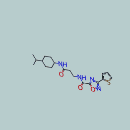 CC(C)C1CCC(NC(=O)CCNC(=O)c2nc(-c3cccs3)no2)CC1